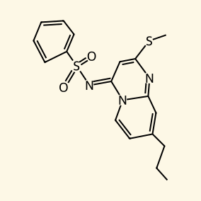 CCCc1ccn2c(=NS(=O)(=O)c3ccccc3)cc(SC)nc2c1